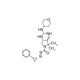 CC1(C)C2=CNC(NC3CCOCC3)NC2CN1C(=O)N=N[C@@H]1CC1c1ccccc1